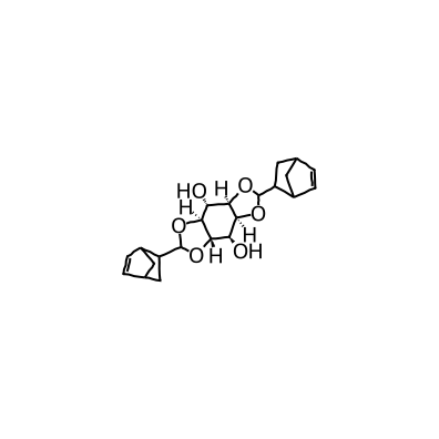 O[C@@H]1[C@H]2OC(C3CC4C=CC3C4)O[C@H]2[C@@H](O)[C@@H]2OC(C3CC4C=CC3C4)O[C@@H]12